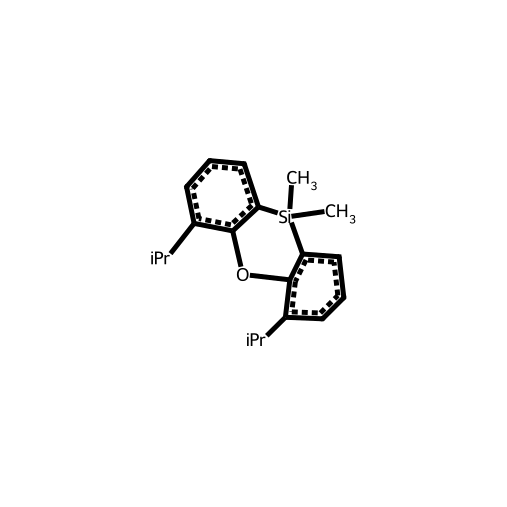 CC(C)c1cccc2c1Oc1c(C(C)C)cccc1[Si]2(C)C